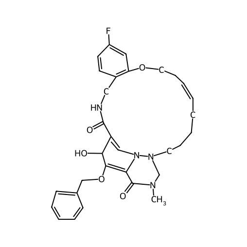 CN1CN2CCCC/C=C\CCOc3cc(F)ccc3CNC(=O)C3=CN2C(=C(OCc2ccccc2)C3O)C1=O